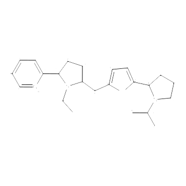 CCN1C(Cc2ccc(C3CCCN3C(C)C)o2)CCC1c1ccccn1